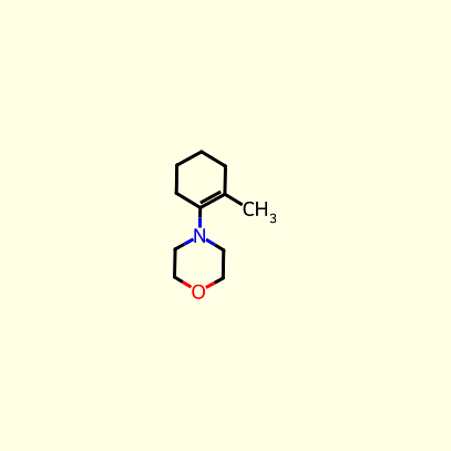 CC1=C(N2CCOCC2)CCCC1